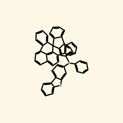 c1ccc(-c2ccc3cccc4c3c2C2(c3ccccc3-c3ccc(N(c5ccccc5)c5ccc6c(c5)oc5ccccc56)cc32)c2ccccc2-4)cc1